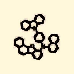 c1ccc2c(N(c3ccc(-n4c5ccccc5c5ccccc54)cc3)c3cccc4c3oc3c5ccccc5ccc43)cccc2c1